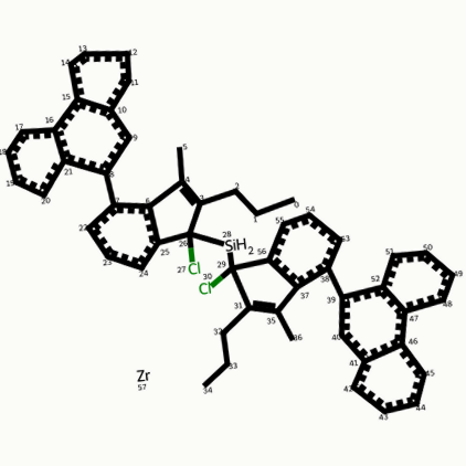 CCCC1=C(C)c2c(-c3cc4ccccc4c4ccccc34)cccc2C1(Cl)[SiH2]C1(Cl)C(CCC)=C(C)c2c(-c3cc4ccccc4c4ccccc34)cccc21.[Zr]